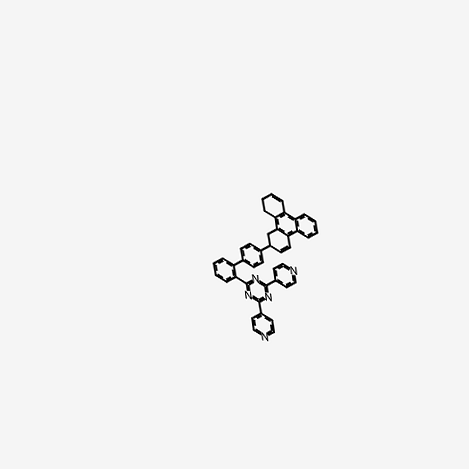 C1=Cc2c(c3c(c4ccccc24)C=CC(c2ccc(-c4ccccc4-c4nc(-c5ccncc5)nc(-c5ccncc5)n4)cc2)C3)CC1